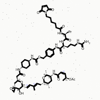 CC(=O)O[C@@H](C)/C=C\C(=O)N[C@@H]1C[C@H](C)[C@H](C/C=C(C)/C=C/[C@H]2O[C@H](CC(=O)N[C@H]3CC[C@H](NC(=O)OCc4ccc(NC(=O)[C@H](CCCNC(N)=O)NC(=O)[C@@H](NC(=O)CCCCCN5C(=O)C=CC5=O)C(C)C)cc4)CC3)C[C@@]3(CO3)[C@@H]2O)O[C@@H]1C